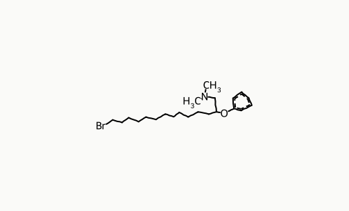 CN(C)CC(CCCCCCCCCCCCBr)Oc1ccccc1